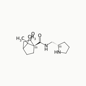 CC1(C)C2CC[C@@]1(C(=O)NC[C@@H]1CCCN1)C(=O)C2